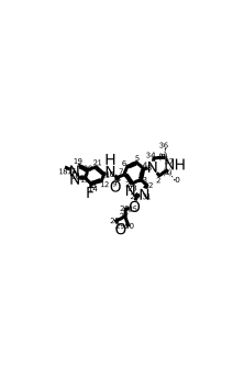 C[C@@H]1CN(c2ccc(C(=O)Nc3cc(F)c4nn(C)cc4c3)c3nc(OCC4COC4)ncc23)C[C@H](C)N1